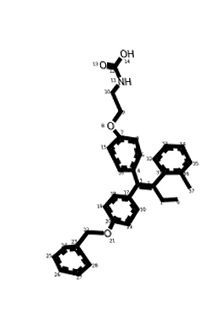 CCC(=C(c1ccc(OCCNC(=O)O)cc1)c1ccc(OCc2ccccc2)cc1)c1ccccc1C